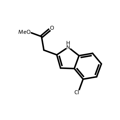 COC(=O)Cc1cc2c(Cl)cccc2[nH]1